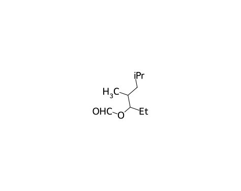 CCC(OC=O)C(C)CC(C)C